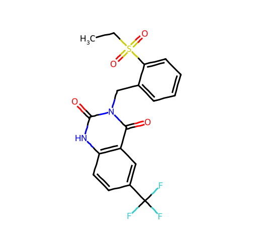 CCS(=O)(=O)c1ccccc1Cn1c(=O)[nH]c2ccc(C(F)(F)F)cc2c1=O